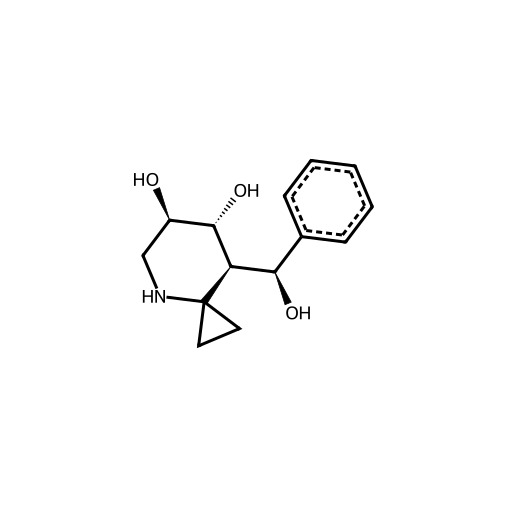 O[C@@H]1[C@@H]([C@H](O)c2ccccc2)C2(CC2)NC[C@H]1O